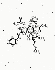 CCCCCC[C@@]1(O)O[C@H](C(NC(=O)OCc2ccccc2)OC(C)=O)[C@H](OC(C)=O)[C@H](OC(C)=O)[C@H]1OC(C)=O